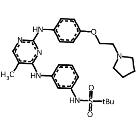 Cc1cnc(Nc2ccc(OCCN3CCCC3)cc2)nc1Nc1cccc(NS(=O)(=O)C(C)(C)C)c1